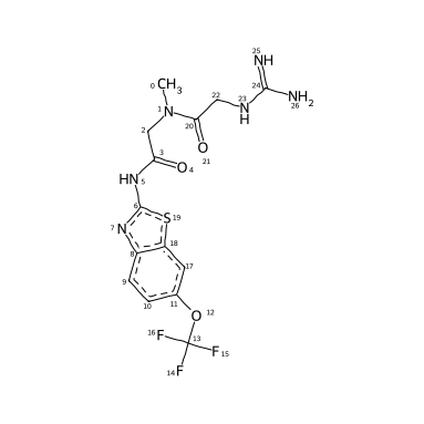 CN(CC(=O)Nc1nc2ccc(OC(F)(F)F)cc2s1)C(=O)CNC(=N)N